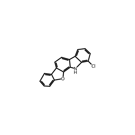 Clc1cccc2c1[nH]c1c2ccc2c3ccccc3oc21